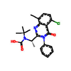 Cc1ccc(Cl)c2c(=O)n(-c3ccccc3)c([C@H](C)N(C(=O)O)C(C)(C)C)nc12